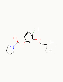 C=C(C)COc1cc(OC(=O)N2CCCC2)ccc1Cl